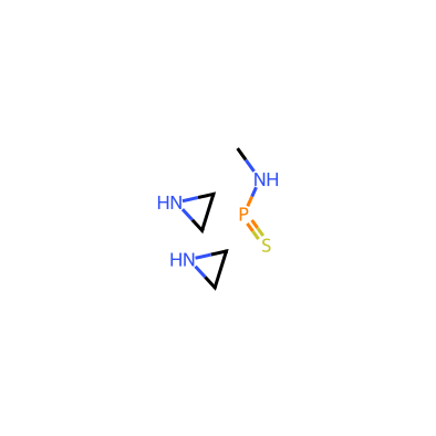 C1CN1.C1CN1.CNP=S